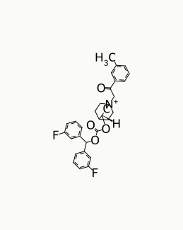 Cc1cccc(C(=O)C[N+]23CCC(CC2)[C@@H](OC(=O)OC(c2cccc(F)c2)c2cccc(F)c2)C3)c1